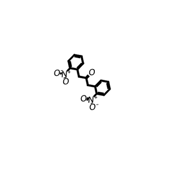 O=C(Cc1ccccc1[N+](=O)[O-])Cc1ccccc1[N+](=O)[O-]